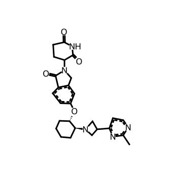 Cc1nccc(C2CN([C@H]3CCCC[C@@H]3Oc3ccc4c(c3)CN(C3CCC(=O)NC3=O)C4=O)C2)n1